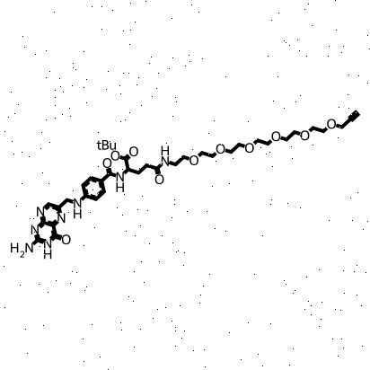 C#CCOCCOCCOCCOCCOCCOCCNC(=O)CCC(NC(=O)c1ccc(NCc2cnc3nc(N)[nH]c(=O)c3n2)cc1)C(=O)OC(C)(C)C